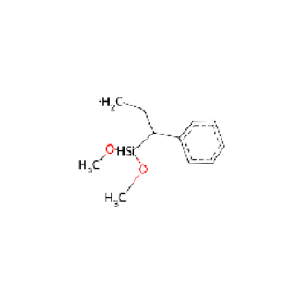 [CH2]CC(c1ccccc1)[SiH](OC)OC